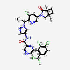 CC(c1ncc(N2C[C@H]3CC[C@H]3C2=O)cc1F)n1cc(NC(=O)c2cncc(-c3c(C(F)F)ccc(Cl)c3F)n2)cn1